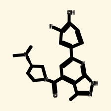 Cc1n[nH]c2nc(-c3ccc(O)c(F)c3)cc(C(=O)N3CC[C@@H](N(C)C)C3)c12